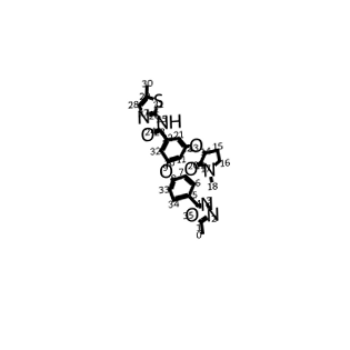 Cc1nnc(-c2ccc(Oc3cc(OC4CCN(C)C4=O)cc(C(=O)Nc4ncc(C)s4)c3)cc2)o1